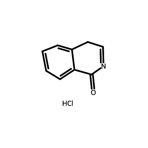 Cl.O=C1N=CCc2ccccc21